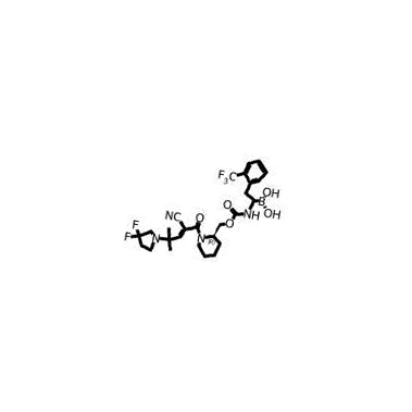 CC(C)(C=C(C#N)C(=O)N1CCCC[C@@H]1COC(=O)NC(Cc1ccccc1C(F)(F)F)B(O)O)N1CCC(F)(F)C1